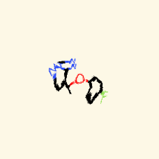 CC(Oc1ccc(F)cc1)c1ccnn2cnnc12